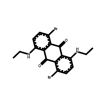 CCNc1ccc(Br)c2c1C(=O)c1c(Br)ccc(NCC)c1C2=O